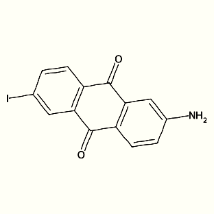 Nc1ccc2c(c1)C(=O)c1ccc(I)cc1C2=O